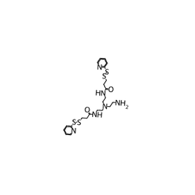 NCCN(CCNC(=O)CCSSc1ccccn1)CCNC(=O)CCSSc1ccccn1